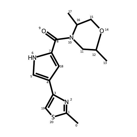 Cc1nc(-c2c[nH]c(C(=O)N3CC(C)OCC3C)c2)cs1